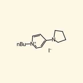 CCCC[n+]1ccc(N2CCCC2)cc1.[I-]